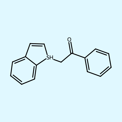 O=C(C[SH]1C=Cc2ccccc21)c1ccccc1